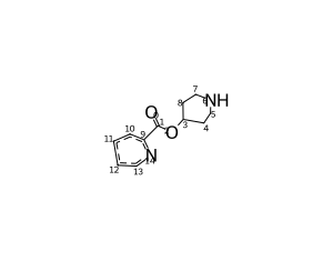 O=C(OC1CCNCC1)c1ccccn1